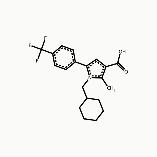 Cc1c(C(=O)O)cc(-c2ccc(C(F)(F)F)cc2)n1CC1CCCCC1